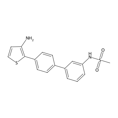 CS(=O)(=O)Nc1cccc(-c2ccc(-c3sccc3N)cc2)c1